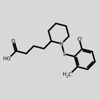 Cc1cccc(Cl)c1SN1CCCCC1CCCC(=O)O